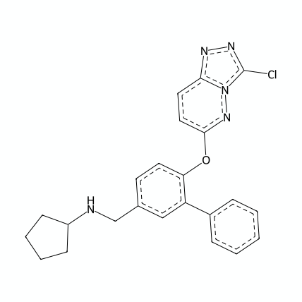 Clc1nnc2ccc(Oc3ccc(CNC4CCCC4)cc3-c3ccccc3)nn12